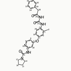 Cc1cc(Oc2ccnc(NC(=O)N3CCCC3)c2)ccc1NC(=O)NC(=O)Cc1ccccc1